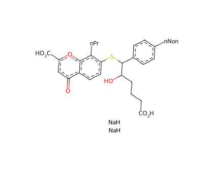 CCCCCCCCCc1ccc(C(Sc2ccc3c(=O)cc(C(=O)O)oc3c2CCC)C(O)CCCC(=O)O)cc1.[NaH].[NaH]